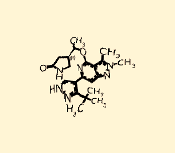 Cc1c2c(OC(C)[C@H]3CNC(=O)C3)nc(-c3c[nH]nc3C(C)(C)C)cc2nn1C